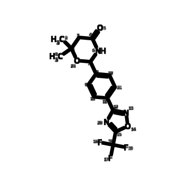 CC1(C)CC(=O)NC(c2ccc(-c3noc(C(F)(F)F)n3)cc2)O1